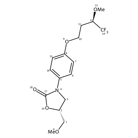 COC[C@H]1CN(c2ccc(OCC[C@@H](OC)C(F)(F)F)cc2)C(=O)O1